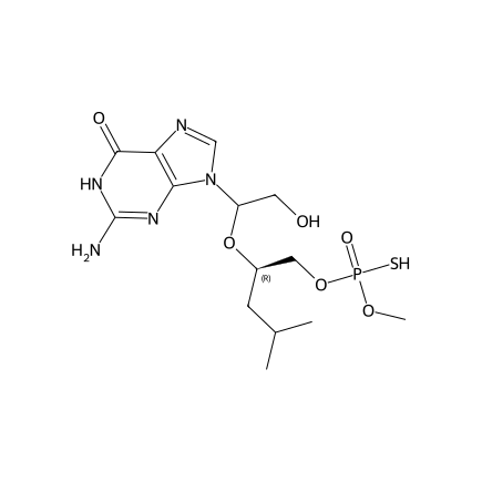 COP(=O)(S)OC[C@@H](CC(C)C)OC(CO)n1cnc2c(=O)[nH]c(N)nc21